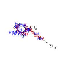 CCCCCCCCCCCCCC(=O)NCCOCCOCC(=O)NCCOCCOCC(=O)N[C@@H](CCCC)C(=O)N[C@H]1CCCC(=O)NCCCC[C@@H](C(N)=O)NC(=O)[C@H](Cc2c[nH]c3ccccc23)NC(=O)[C@H](CCCNC(=N)N)NC(=O)[C@@H](Cc2ccccc2)NC(=O)[C@H](CCC(N)=O)NC1=O